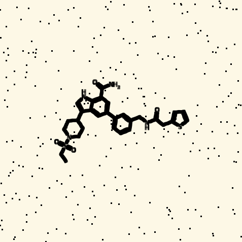 CCS(=O)(=O)N1CCC(c2c[nH]c3c(C(N)=O)cc(-c4cccc(CNC(=O)Cc5cccs5)c4)cc23)CC1